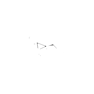 CCCC[C@H]1O[C@@H]1CC(=O)O.N